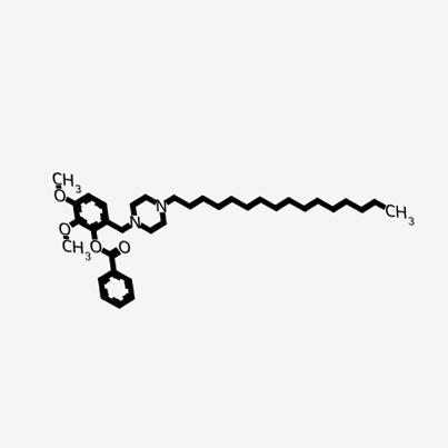 CCCCCCCCCCCCCCCCN1CCN(Cc2ccc(OC)c(OC)c2OC(=O)c2ccccc2)CC1